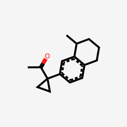 CC(=O)C1(c2ccc3c(c2)C(C)CCC3)CC1